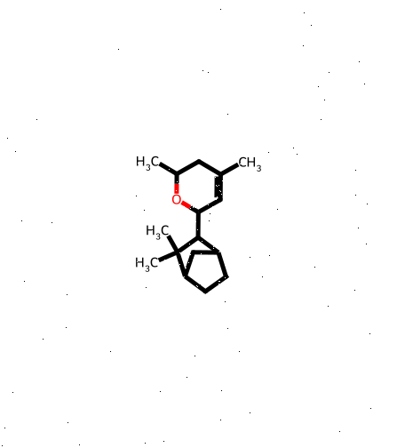 CC1=CC(C2C3CCC(C3)C2(C)C)OC(C)C1